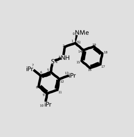 CN[C@H](CNSc1c(C(C)C)cc(C(C)C)cc1C(C)C)c1ccccc1